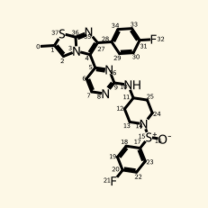 Cc1cn2c(-c3ccnc(NC4CCN([S+]([O-])c5ccc(F)cc5)CC4)n3)c(-c3ccc(F)cc3)nc2s1